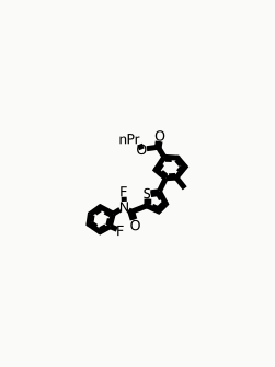 CCCOC(=O)c1ccc(C)c(-c2ccc(C(=O)N(F)c3ccccc3F)s2)c1